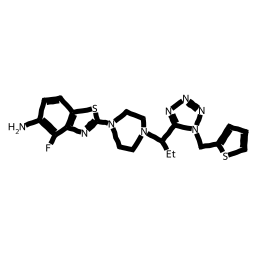 CCC(c1nnnn1Cc1cccs1)N1CCN(c2nc3c(F)c(N)ccc3s2)CC1